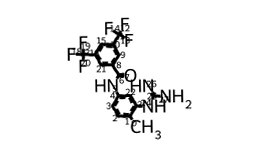 Cc1ccc(NC(=O)c2cc(C(F)(F)F)cc(C(F)(F)F)c2)cc1NC(=N)N